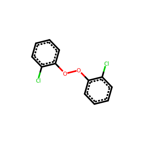 Clc1ccccc1OOc1ccccc1Cl